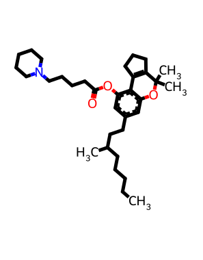 CCCCCC(C)CCc1cc(OC(=O)CCCCN2CCCCC2)c2c(c1)OC(C)(C)C1=C2CCC1